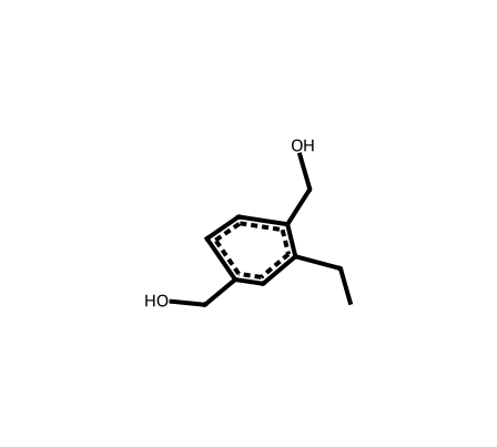 CCc1cc(CO)ccc1CO